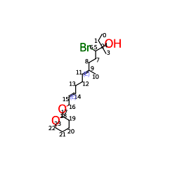 CCC(C)(O)C(Br)CC/C(C)=C/CC/C=C/COC1CCCCO1